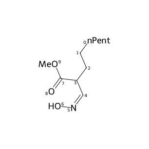 CCCCCCCC(/C=N\O)C(=O)OC